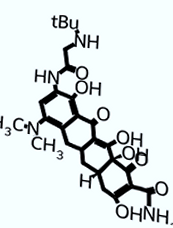 CN(C)c1cc(NC(=O)CNC(C)(C)C)c(O)c2c1CC1C[C@H]3CC(O)=C(C(N)=O)C(=O)[C@@]3(O)C(O)=C1C2=O